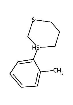 Cc1ccccc1[SH]1CCCSC1